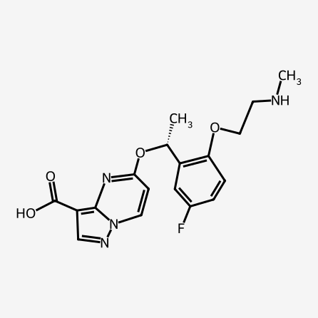 CNCCOc1ccc(F)cc1[C@@H](C)Oc1ccn2ncc(C(=O)O)c2n1